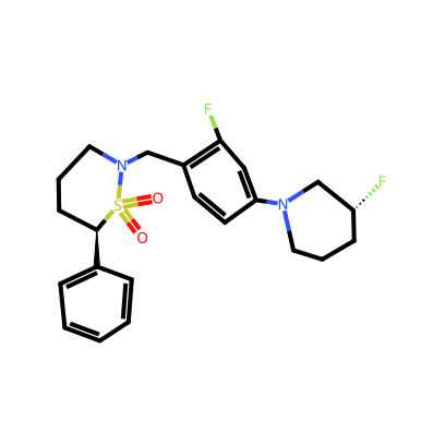 O=S1(=O)[C@@H](c2ccccc2)CCCN1Cc1ccc(N2CCC[C@@H](F)C2)cc1F